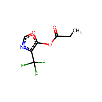 CCC(=O)Oc1ocnc1C(F)(F)F